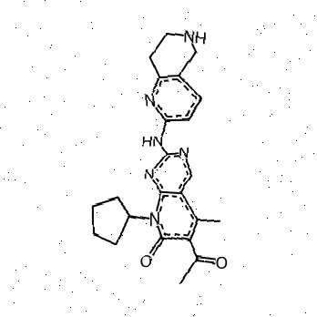 CC(=O)c1c(C)c2cnc(Nc3ccc4c(n3)CCNC4)nc2n(C2CCCC2)c1=O